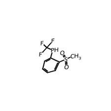 CS(=O)(=O)c1ccccc1PC(F)(F)F